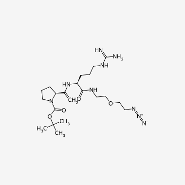 C=C(N[C@@H](CCCNC(=N)N)C(=O)NCCOCCN=[N+]=[N-])[C@@H]1CCCN1C(=O)OC(C)(C)C